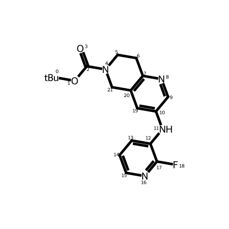 CC(C)(C)OC(=O)N1CCc2ncc(Nc3cccnc3F)cc2C1